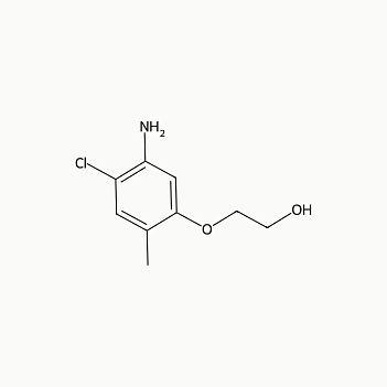 Cc1cc(Cl)c(N)cc1OCCO